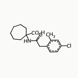 Cc1cc(Cl)ccc1CC(=O)NC1(C(=O)O)CCCCCC1